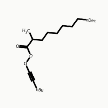 CCCCC#COOC(=O)C(C)CCCCCCCCCCCCCCCC